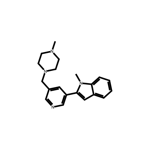 CN1CCN(Cc2cncc(-c3cc4ccccc4n3C)c2)CC1